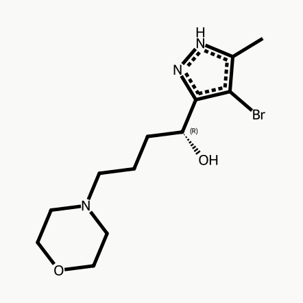 Cc1[nH]nc([C@H](O)CCCN2CCOCC2)c1Br